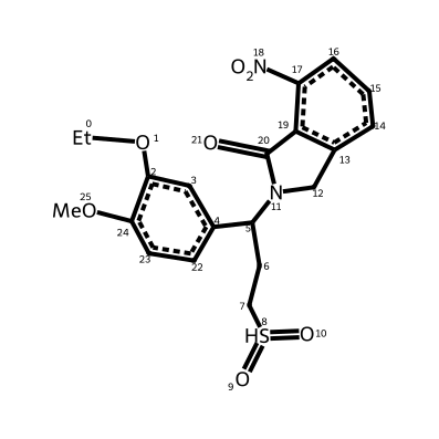 CCOc1cc(C(CC[SH](=O)=O)N2Cc3cccc([N+](=O)[O-])c3C2=O)ccc1OC